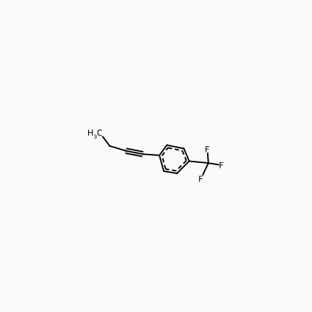 CCC#Cc1ccc(C(F)(F)F)cc1